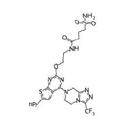 CCCc1cc2c(N3CCn4c(nnc4C(F)(F)F)C3)nc(OCCNC(=O)CCCS(N)(=O)=O)nc2s1